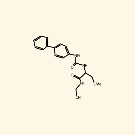 CSCC(NC(=O)Nc1ccc(-c2ccccc2)cc1)C(=O)NCC#N